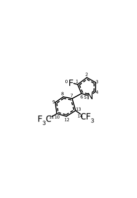 Fc1cccnc1-c1ccc(C(F)(F)F)cc1C(F)(F)F